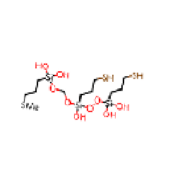 CSCCC[Si](O)(O)OCO[Si](O)(CCCS)OO[Si](O)(O)CCCS